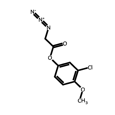 COc1ccc(OC(=O)CN=[N+]=[N-])cc1Cl